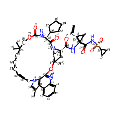 C=C[C@@H]1C[C@]1(NC(=O)[C@@H]1C[C@@H]2CN1C(=O)[C@H](C1CCCC1)NC(=O)OCC(C)(C)CCCC=CCn1cc(C)c3c4ccccc4nc(c31)O2)C(=O)NS(=O)(=O)C1CC1